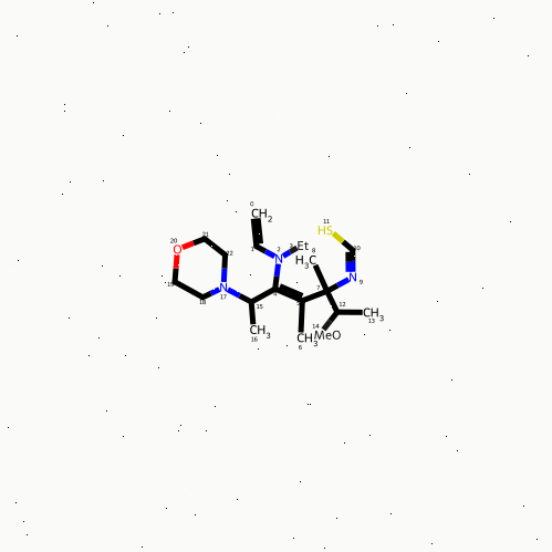 C=CN(CC)/C(=C(/C)C(C)(/N=C\S)C(C)OC)C(C)N1CCOCC1